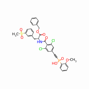 COc1ccccc1P(=O)(O)C#Cc1cc(Cl)c(C(=O)N[C@@H](Cc2cccc(S(C)(=O)=O)c2)C(=O)OCc2ccccc2)c(Cl)c1